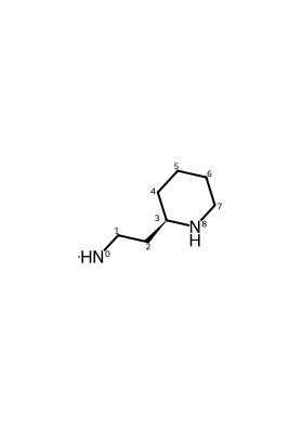 [NH]CC[C@H]1CCCCN1